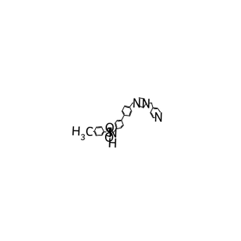 Cc1ccc(S(=O)(=O)Nc2ccc(-c3ccc(CN4CCN(Cc5ccncc5)CC4)cc3)cc2)cc1